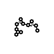 c1ccc(-c2cccc(N3Cc4ccc(-c5ccc6c(c5)c5ccccc5n6-c5cccc(-c6ccc7c8ccccc8c8ccccc8c7c6)c5)cc4-c4ccccc43)c2)cc1